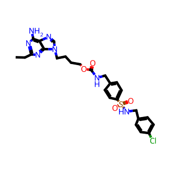 CCc1nc(N)c2ncn(CCCCOC(=O)NCc3ccc(S(=O)(=O)NCc4ccc(Cl)cc4)cc3)c2n1